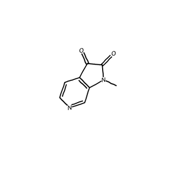 CN1C(=O)C(=O)c2ccncc21